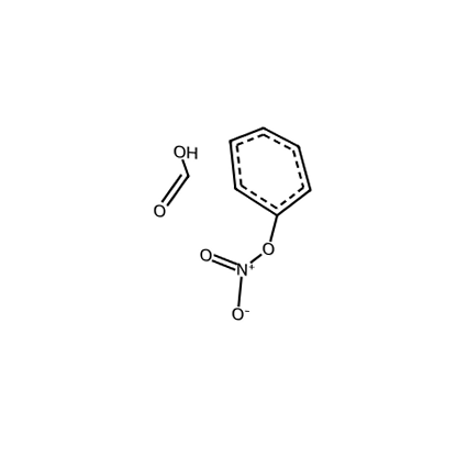 O=CO.O=[N+]([O-])Oc1ccccc1